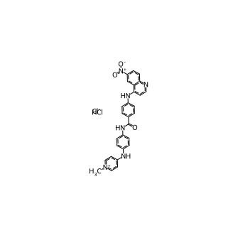 C[n+]1ccc(Nc2ccc(NC(=O)c3ccc(Nc4ccnc5ccc([N+](=O)[O-])cc45)cc3)cc2)cc1.Cl.[Cl-]